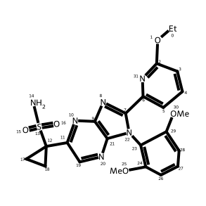 CCOc1cccc(-c2nc3nc(C4(S(N)(=O)=O)CC4)cnc3n2-c2c(OC)cccc2OC)n1